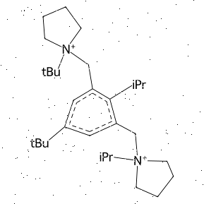 CC(C)c1c(C[N+]2(C(C)C)CCCC2)cc(C(C)(C)C)cc1C[N+]1(C(C)(C)C)CCCC1